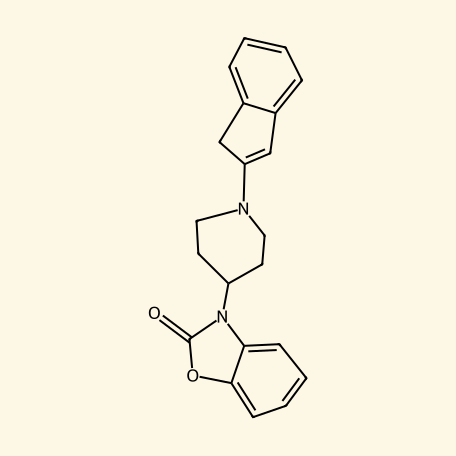 O=c1oc2ccccc2n1C1CCN(C2=Cc3ccccc3C2)CC1